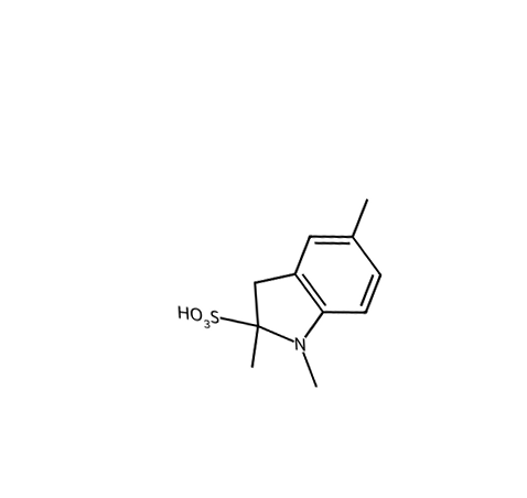 Cc1ccc2c(c1)CC(C)(S(=O)(=O)O)N2C